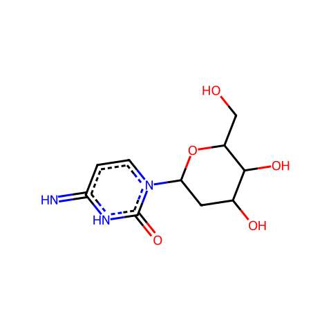 N=c1ccn(C2CC(O)C(O)C(CO)O2)c(=O)[nH]1